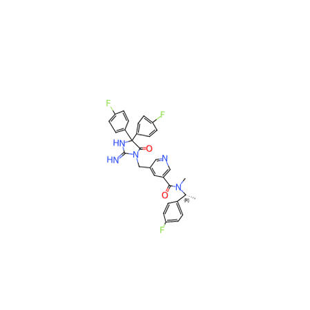 C[C@H](c1ccc(F)cc1)N(C)C(=O)c1cncc(CN2C(=N)NC(c3ccc(F)cc3)(c3ccc(F)cc3)C2=O)c1